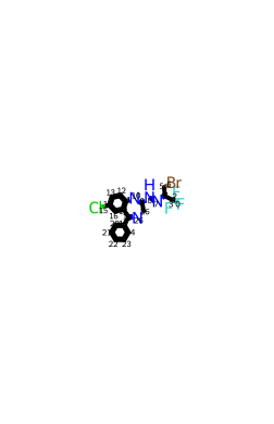 FC(F)(F)C(CBr)=NNC1=Nc2ccc(Cl)cc2C(c2ccccc2)=NC1